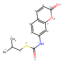 CC(=O)C(C)CSC(=O)Nc1ccc2ccc(=O)oc2c1